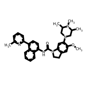 COc1cc2c(cc1N1CC(C)N(C)C(C)C1)N(C(=O)Nc1ccc(-c3cccc(C)n3)c3ccccc13)CC2